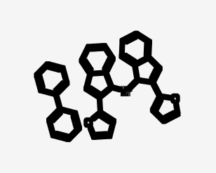 C1=C(c2ccco2)[CH]([Zr][CH]2C(c3ccco3)=Cc3ccccc32)c2ccccc21.c1ccc(-c2ccccc2)cc1